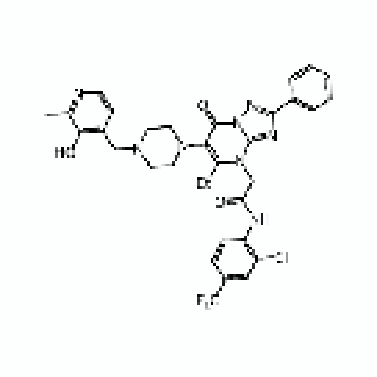 CCc1c(N2CCN(Cc3ccnc(C)c3O)CC2)c(=O)n2nc(-c3ccccc3)nc2n1CC(=O)Nc1ccc(C(F)(F)F)cc1Cl